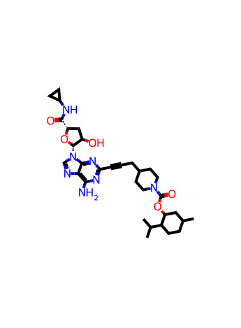 CC1CCC(C(C)C)C(OC(=O)N2CCC(CC#Cc3nc(N)c4ncn([C@@H]5O[C@H](C(=O)NC6CC6)CC5O)c4n3)CC2)C1